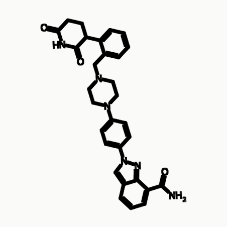 NC(=O)c1cccc2cn(-c3ccc(N4CCN(Cc5ccccc5C5CCC(=O)NC5=O)CC4)cc3)nc12